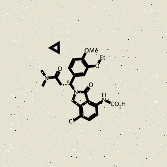 C1CC1.CCOc1cc([C@@H](CC(=O)N(C)C)N2Cc3c(Cl)ccc(NC(=O)O)c3C2=O)ccc1OC